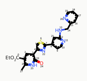 CCOC(=O)c1cc(-c2csc(-c3ccnc(NCc4ccccn4)c3)n2)c(=O)[nH]c1C